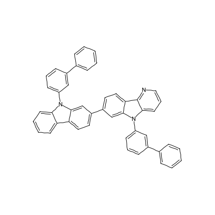 c1ccc(-c2cccc(-n3c4ccccc4c4ccc(-c5ccc6c7ncccc7n(-c7cccc(-c8ccccc8)c7)c6c5)cc43)c2)cc1